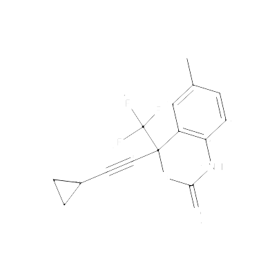 Cc1ccc2c(c1)C(C#CC1CC1)(C(F)(F)F)OC(=O)N2